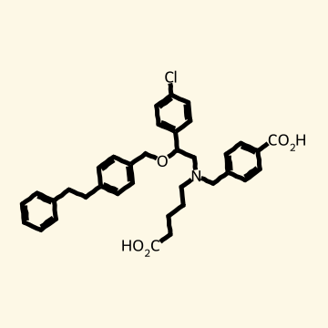 O=C(O)CCCCN(Cc1ccc(C(=O)O)cc1)CC(OCc1ccc(CCc2ccccc2)cc1)c1ccc(Cl)cc1